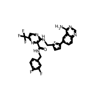 Nc1ncnc2ccc(-c3ccc(CNc4ncc(C(F)(F)F)nc4C(=O)NCc4ccc(F)c(F)c4)s3)cc12